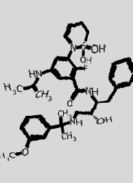 COc1cccc(C(C)(C)NC[C@@H](O)[C@H](Cc2ccccc2)NC(=O)c2cc(NC(C)C)cc(N3CCCCS3(O)O)c2F)c1